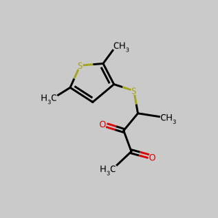 CC(=O)C(=O)C(C)Sc1cc(C)sc1C